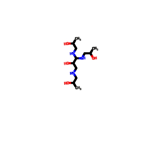 CC(O)CNCC(O)C(NCC(C)O)NCC(C)O